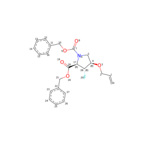 C=CCO[C@@H]1CN(C(=O)OCc2ccccc2)[C@H](C(=O)OCc2ccccc2)[C@H]1F